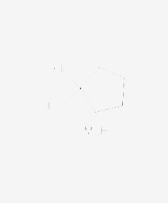 CC1(Cl)CCCC1.[MgH2]